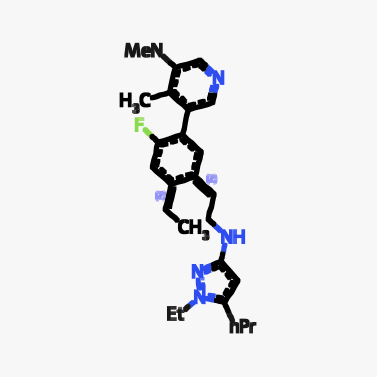 C/C=c1/cc(F)c(-c2cncc(NC)c2C)c/c1=C/CNc1cc(CCC)n(CC)n1